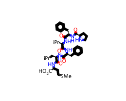 CSCC[C@H](NC(=O)[C@@H](CC(C)C)NC(=O)[C@H](Cc1ccccc1)NC(=O)[C@H](NC(=O)[C@H](Cc1ccccc1)NC(=O)[C@H]1CCCN1)C(C)C)C(=O)O